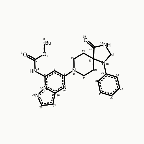 CC(C)(C)OC(=O)Nc1cc(N2CCC3(CC2)C(=O)NCN3c2ccccc2)nc2ccnn12